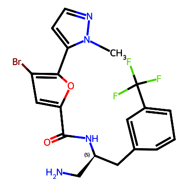 Cn1nccc1-c1oc(C(=O)N[C@H](CN)Cc2cccc(C(F)(F)F)c2)cc1Br